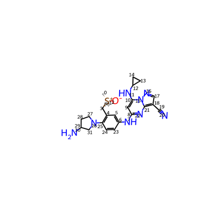 C[S@+]([O-])Cc1cc(Nc2cc(NC3CC3)n3ncc(C#N)c3n2)ccc1N1CCC(N)C1